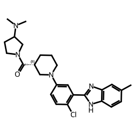 Cc1ccc2[nH]c(-c3cc(N4CCC[C@@H](C(=O)N5CCC(N(C)C)C5)C4)ccc3Cl)nc2c1